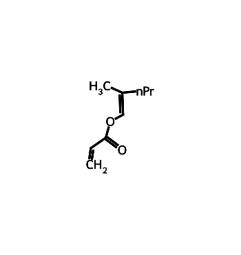 C=CC(=O)OC=C(C)CCC